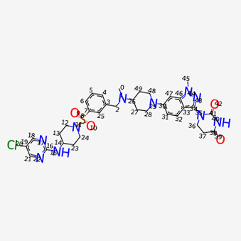 CN(Cc1cccc(S(=O)(=O)N2CCC(Nc3ncc(Cl)cn3)CC2)c1)C1CCN(c2ccc3c(N4CCC(=O)NC4=O)nn(C)c3c2)CC1